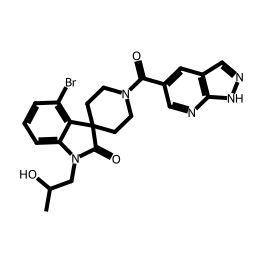 CC(O)CN1C(=O)C2(CCN(C(=O)c3cnc4[nH]ncc4c3)CC2)c2c(Br)cccc21